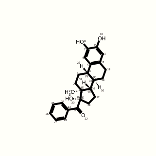 C[C@]12CC[C@@H]3c4cc(O)c(O)cc4CC[C@H]3[C@@H]1CC[C@@]2(O)C(=O)c1ccccc1